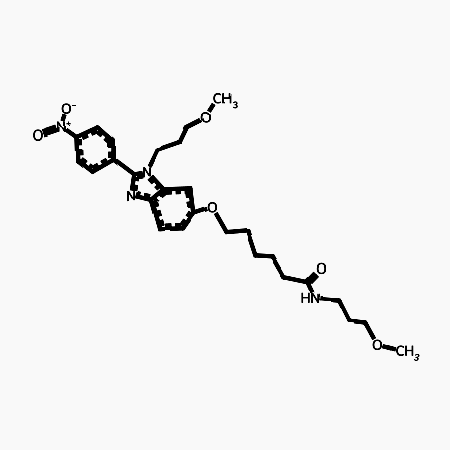 COCCCNC(=O)CCCCCOc1ccc2nc(-c3ccc([N+](=O)[O-])cc3)n(CCCOC)c2c1